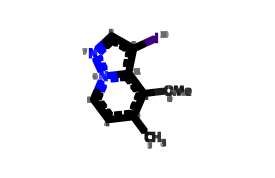 COc1c(C)ccn2ncc(I)c12